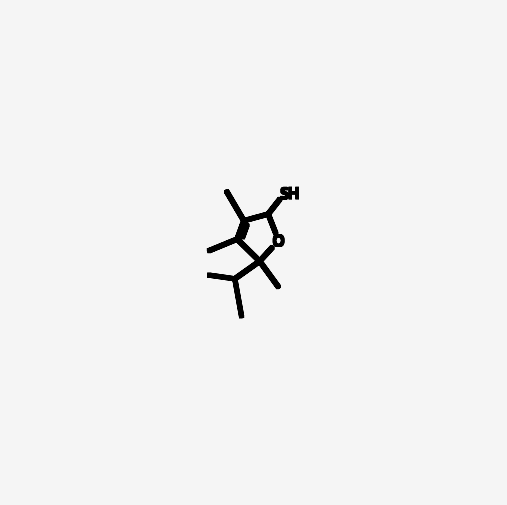 CC1=C(C)C(C)(C(C)C)OC1S